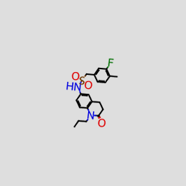 CCCN1C(=O)CCc2cc(NS(=O)(=O)Cc3ccc(C)c(F)c3)ccc21